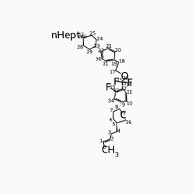 C/C=C/CC[C@H]1CC[C@H](c2ccc(C(F)(F)OCCc3ccc([C@H]4CC[C@H](CCCCCCC)CC4)cc3)c(F)c2)CC1